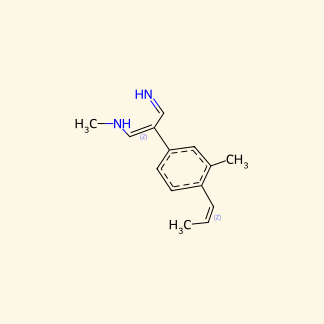 C/C=C\c1ccc(/C(C=N)=C/NC)cc1C